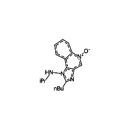 CCCCc1nc2c[n+]([O-])c3ccccc3c2n1NC(C)C